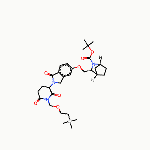 CC(C)(C)OC(=O)N1[C@@H]2CC[C@@H](C2)[C@H]1COc1ccc2c(c1)CN(C1CCC(=O)N(COCC[Si](C)(C)C)C1=O)C2=O